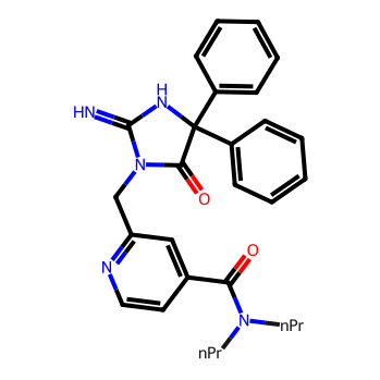 CCCN(CCC)C(=O)c1ccnc(CN2C(=N)NC(c3ccccc3)(c3ccccc3)C2=O)c1